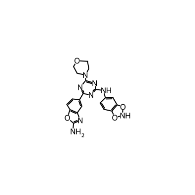 Nc1nc2cc(-c3nc(Nc4ccc5c(c4)ONO5)nc(N4CCOCC4)n3)ccc2o1